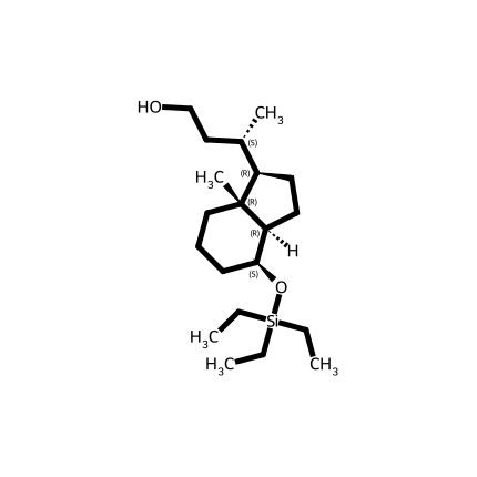 CC[Si](CC)(CC)O[C@H]1CCC[C@]2(C)[C@@H]([C@@H](C)CCO)CC[C@@H]12